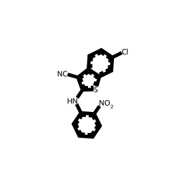 N#Cc1c(Nc2ccccc2[N+](=O)[O-])sc2cc(Cl)ccc12